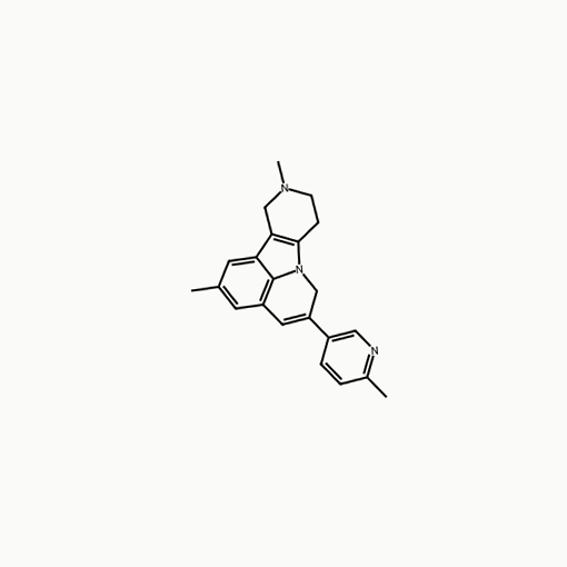 Cc1cc2c3c(c1)c1c(n3CC(c3ccc(C)nc3)=C2)CCN(C)C1